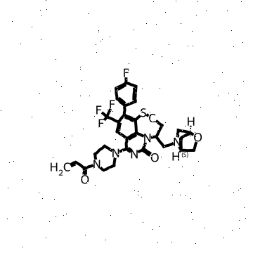 C=CC(=O)N1CCN(c2nc(=O)n3c4c(c(-c5ccc(F)cc5)c(C(F)(F)F)cc24)SCCC3CN2C[C@@H]3C[C@H]2CO3)CC1